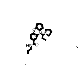 C=CCNC(=O)c1ccc2c(c1)N(C(CC)N1CC=CC1)c1ccccc1S2